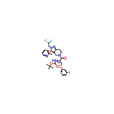 CC(C)(C)OC(=O)N[C@H](COc1cccc(F)c1)C(=O)N1CCC2=NN(CC(F)F)C(=O)[C@]2(Cc2ccccn2)C1